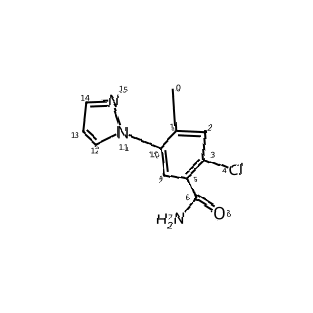 Cc1cc(Cl)c(C(N)=O)cc1-n1cccn1